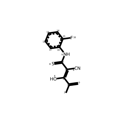 C=C(C)/C(O)=C(\C#N)C(=S)Nc1ccccc1F